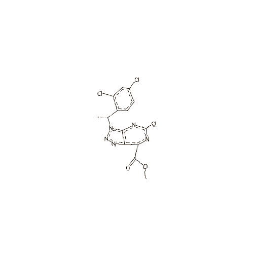 COC(=O)c1nc(Cl)nc2c1nnn2[C@H](C)c1ccc(Cl)cc1Cl